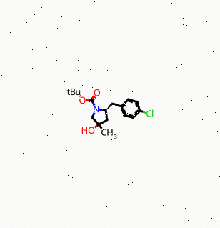 CC1(O)C[C@H](Cc2ccc(Cl)cc2)N(C(=O)OC(C)(C)C)C1